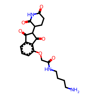 NCCCCNC(=O)COc1cccc2c1C(=O)C(C1CCC(=O)NC1=O)C2=O